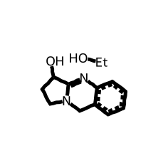 CCO.OC1CCN2Cc3ccccc3N=C12